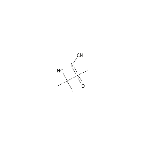 CC(C)(C#N)S(C)(=O)=NC#N